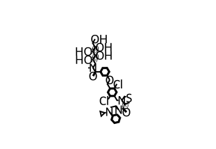 CN(C[C@H](O)[C@@H](O)[C@H](O)[C@H](O)CO)C(=O)c1cccc(OCc2cc(Cl)c(CN3CSC[C@H]3C(=O)N3CCN(C4CC4)c4ccccc43)cc2Cl)c1